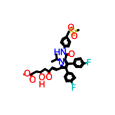 COC(=O)C[C@H](O)CC(=O)C=Cc1c(-c2ccc(F)cc2)c(-c2ccc(F)cc2)c(C(=O)Nc2ccc(CS(C)(=O)=O)cc2)n1C(C)C